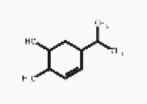 CC(C)C1C=CC(C)C(O)C1